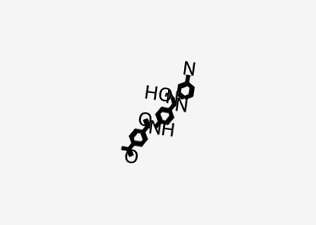 CC(=O)c1ccc(C(=O)Nc2ccc(-c3nc4ccc(C#N)cc4n3O)cc2)cc1